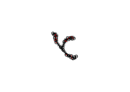 O=C(Oc1ccc2ccc(=O)oc2c1)c1ccc(OCCCCCCOCC(COCCCCCCOc2ccc(C(=O)Oc3ccc4ccc(=O)oc4c3)cc2)OCCCCCCOc2ccc(C(=O)Oc3ccc4ccc(=O)oc4c3)cc2)cc1